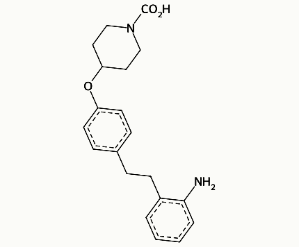 Nc1ccccc1CCc1ccc(OC2CCN(C(=O)O)CC2)cc1